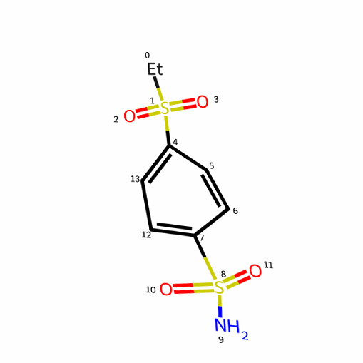 CCS(=O)(=O)c1ccc(S(N)(=O)=O)cc1